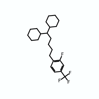 Fc1cc(C(F)(F)F)ccc1CCCCC(C1CCCCC1)C1CCCCC1